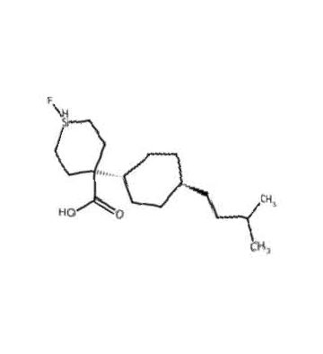 CC(C)CC[C@H]1CC[C@H](C2(C(=O)O)CC[SiH](F)CC2)CC1